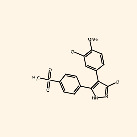 COc1ccc(-c2c(Cl)n[nH]c2-c2ccc(S(C)(=O)=O)cc2)cc1Cl